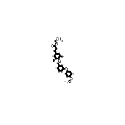 CCOC(=O)CCc1cc(F)c(OCc2cccc(Oc3ccc(OC)cc3)c2)c(F)c1